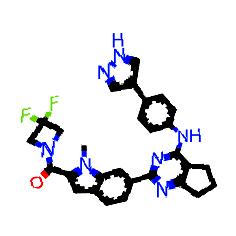 Cn1c(C(=O)N2CC(F)(F)C2)cc2ccc(-c3nc4c(c(Nc5ccc(-c6cn[nH]c6)cc5)n3)CCC4)cc21